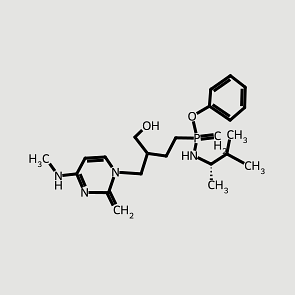 C=C1N=C(NC)C=CN1CC(CO)CCP(=C)(N[C@@H](C)C(C)C)Oc1ccccc1